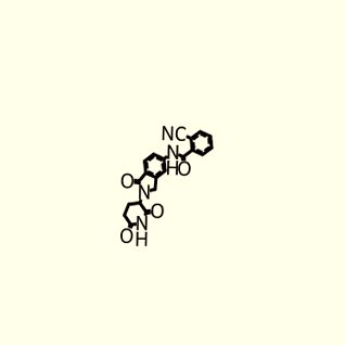 N#Cc1ccccc1C(=O)Nc1ccc2c(c1)CN(C1CCC(=O)NC1=O)C2=O